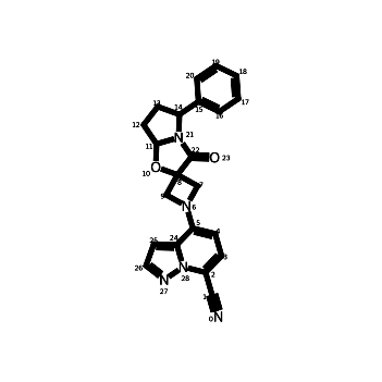 N#Cc1ccc(N2CC3(C2)OC2CCC(c4ccccc4)N2C3=O)c2ccnn12